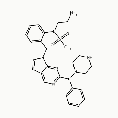 CS(=O)(=O)N(CCN)c1ccccc1Cn1ccc2cnc(N(c3ccccc3)N3CCNCC3)nc21